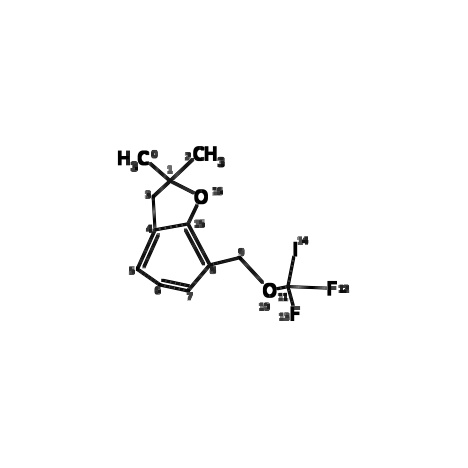 CC1(C)Cc2cccc(COC(F)(F)I)c2O1